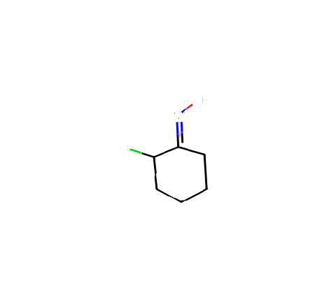 ON=C1CCCCC1Cl